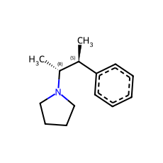 C[C@H]([C@@H](C)c1ccccc1)N1CCCC1